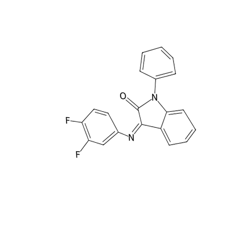 O=C1C(=Nc2ccc(F)c(F)c2)c2ccccc2N1c1ccccc1